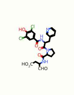 O=CC(CC(=O)O)NC(=O)C1CCCN1C(=O)C(Cc1cccnc1)NC(=O)c1cc(Cl)c(O)c(Cl)c1